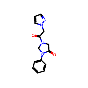 O=C(Cn1cccn1)N1CC(=O)N(c2ccccc2)C1